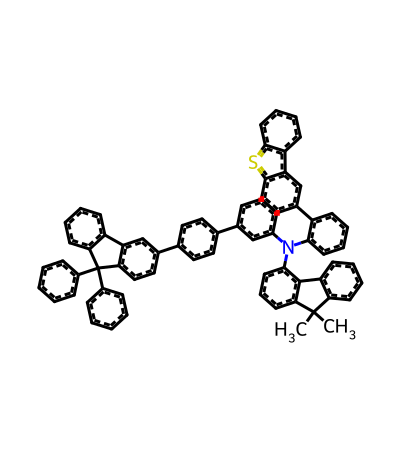 CC1(C)c2ccccc2-c2c(N(c3cccc(-c4ccc(-c5ccc6c(c5)-c5ccccc5C6(c5ccccc5)c5ccccc5)cc4)c3)c3ccccc3-c3ccc4sc5ccccc5c4c3)cccc21